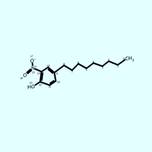 CCCCCCCCCc1ccc(O)c([N+](=O)[O-])c1